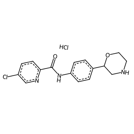 Cl.O=C(Nc1ccc(C2CNCCO2)cc1)c1ccc(Cl)cn1